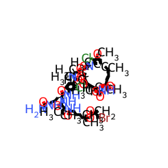 C=C(CBr)C(=O)OC(C)(C)CCCCC(=O)N[C@H](C(=O)N[C@@H](CCCNC(N)=O)C(=O)Nc1ccc(C(=O)N(C)[C@@H](C)C(=O)O[C@H]2CC(=O)N(C)c3cc(cc(OC)c3Cl)C/C(C)=C/C=C/[C@@H](OC)[C@@]3(O)C[C@H](OC(=O)N3)[C@@H](C)[C@@H]3O[C@@]23C)c(Cl)c1)C(C)C